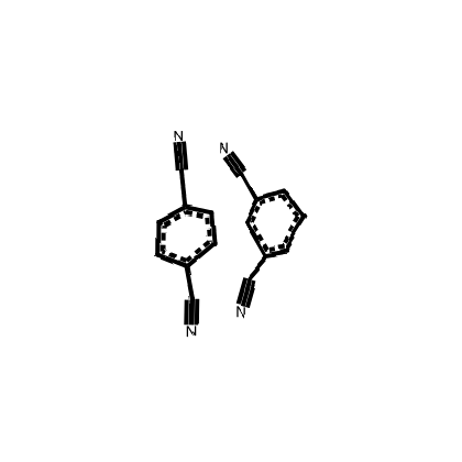 N#Cc1ccc(C#N)cc1.N#Cc1cccc(C#N)c1